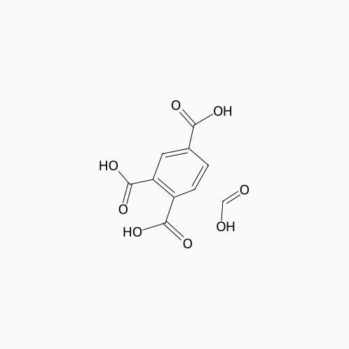 O=C(O)c1ccc(C(=O)O)c(C(=O)O)c1.O=CO